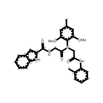 COc1cc(C)cc(OC)c1N(CC(=O)Nc1ccccc1C)C(=O)CNC(=O)c1cc2ccccc2[nH]1